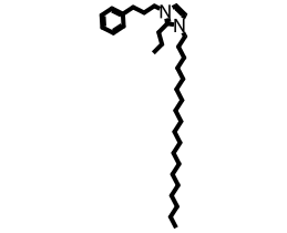 CCCCCCCCCCCCCCCCCCCn1cc[n+](CCCc2ccccc2)c1CCC